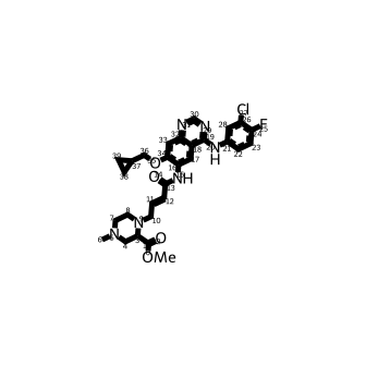 COC(=O)C1CN(C)CCN1CC=CC(=O)Nc1cc2c(Nc3ccc(F)c(Cl)c3)ncnc2cc1OCC1CC1